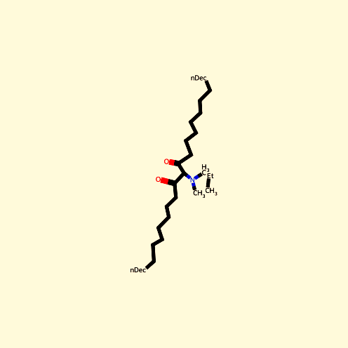 CCC.CCCCCCCCCCCCCCCCCC(=O)C(C(=O)CCCCCCCCCCCCCCCCC)N(C)C